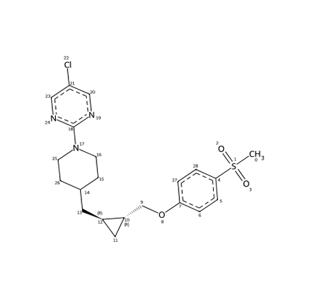 CS(=O)(=O)c1ccc(OC[C@@H]2C[C@H]2CC2CCN(c3ncc(Cl)cn3)CC2)cc1